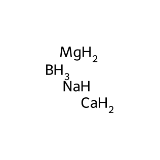 B.[CaH2].[MgH2].[NaH]